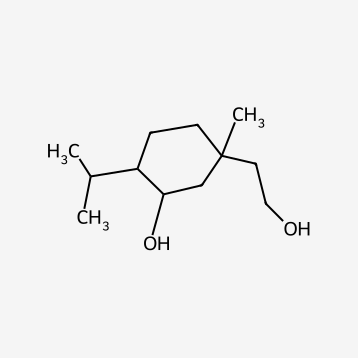 CC(C)C1CCC(C)(CCO)CC1O